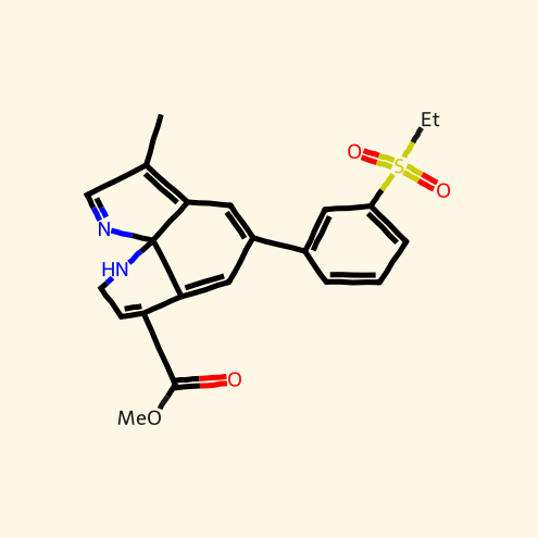 CCS(=O)(=O)c1cccc(C2=CC3=C(C)C=NC34NCC=C(C(=O)OC)C4=C2)c1